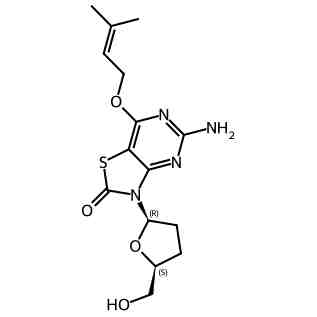 CC(C)=CCOc1nc(N)nc2c1sc(=O)n2[C@H]1CC[C@@H](CO)O1